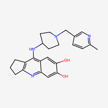 Cc1ccc(CN2CCC(Nc3c4c(nc5cc(O)c(O)cc35)CCC4)CC2)cn1